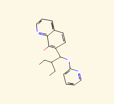 CCC(CC)C(Nc1ccccn1)c1ccc2cccnc2c1O